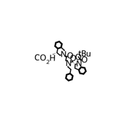 CC(C)(C)OC(=O)N1c2ccccc2C[C@@H]1C(=O)N(CCc1ccccc1)CC(=O)N1Cc2ccccc2[C@@H](CC(=O)O)C1